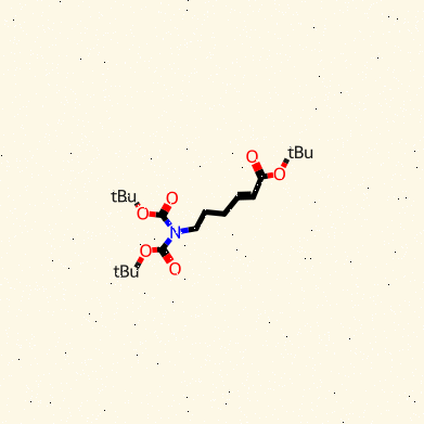 CC(C)(C)OC(=O)/C=C/CCCN(C(=O)OC(C)(C)C)C(=O)OC(C)(C)C